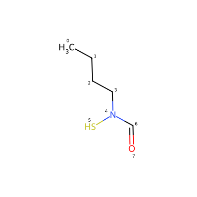 CCCCN(S)C=O